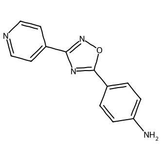 Nc1ccc(-c2nc(-c3ccncc3)no2)cc1